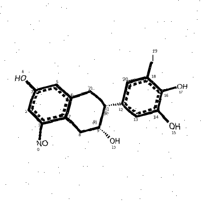 O=Nc1cc(O)cc2c1C[C@@H](O)[C@@H](c1cc(O)c(O)c(I)c1)C2